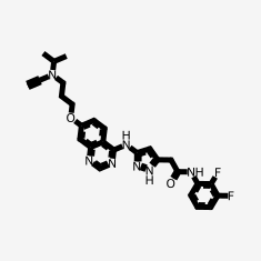 C#CN(CCCOc1ccc2c(Nc3cc(CC(=O)Nc4cccc(F)c4F)[nH]n3)ncnc2c1)C(C)C